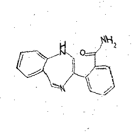 NC(=O)c1ccccc1C1=CNc2ccccc2C=N1